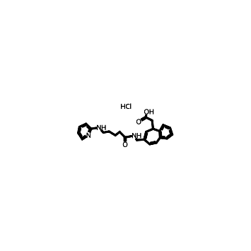 Cl.O=C(O)CC1C=C(CNC(=O)CCCCNc2ccccn2)C=Cc2ccccc21